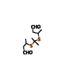 CC(CC=O)SC(C)(C)SC(C)CC=O